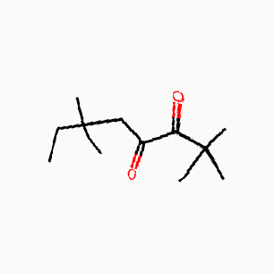 CCC(C)(C)CC(=O)C(=O)C(C)(C)C